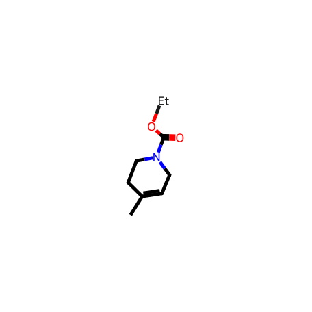 CCOC(=O)N1CC=C(C)CC1